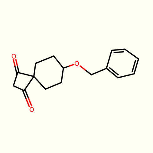 O=C1CC(=O)C12CCC(OCc1ccccc1)CC2